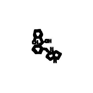 Cc1ccccc1[C@H](O)c1ccccc1CN1CC[C@H]2CCC[C@H]21